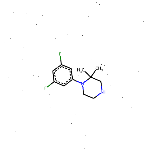 CC1(C)CNCCN1c1cc(F)cc(F)c1